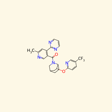 Cc1cc(-c2ncccn2)c(C(=O)N2CC3CCC2C(Oc2ccc(C(F)(F)F)cn2)C3)cn1